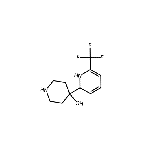 OC1(C2C=CC=C(C(F)(F)F)N2)CCNCC1